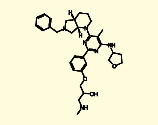 CNCC(O)COc1cccc(-c2nc(N[C@@H]3CCOC3)c(C)c(N3CCC[C@H]4CN(Cc5ccccc5)C[C@H]43)n2)c1